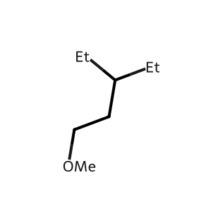 CCC(CC)CCOC